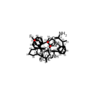 CC1C[C@H](C2CCCN2[C@@]2(C(=O)NC(=O)O)c3ccc(cc3)[C@@]2(C)C(C)C(N)=O)N(c2ccc(F)cc2)[C@@]1(C)C1CCCN1[C@@]1(C(=O)NC(=O)O)c2ccc(cc2)[C@@]1(C)C(C)C(N)=O